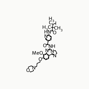 COc1c(OCCCN2CCOCC2)ccc2c1N=C(NC(=O)c1ccc(NC(=O)C(C)(C)C(C)I)nc1)N1CCN=C21